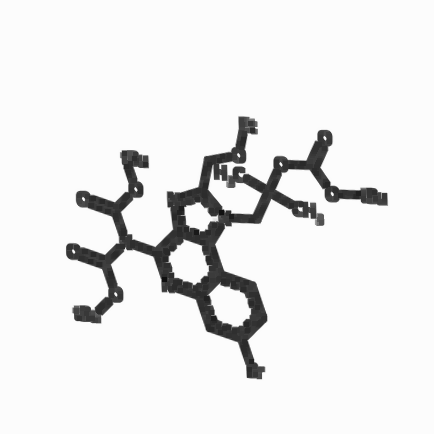 CCOCc1nc2c(N(C(=O)OC(C)(C)C)C(=O)OC(C)(C)C)nc3cc(Br)ccc3c2n1CC(C)(C)OC(=O)OC(C)(C)C